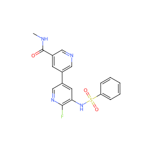 CNC(=O)c1cncc(-c2cnc(F)c(NS(=O)(=O)c3ccccc3)c2)c1